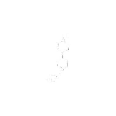 CN1CCC(C2CCN(CC3CNC3)CC2)CC1